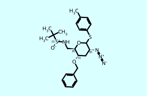 Cc1ccc(SC2O[C@H](CN[S@+]([O-])C(C)(C)C)[C@@H](OCc3ccccc3)C[C@H]2N=[N+]=[N-])cc1